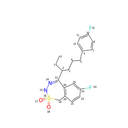 CCC(CCCc1ccc(F)cc1)C1=N[N]S(=O)(=O)Cc2ccc(F)cc21